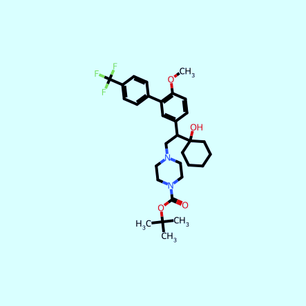 COc1ccc(C(CN2CCN(C(=O)OC(C)(C)C)CC2)C2(O)CCCCC2)cc1-c1ccc(C(F)(F)F)cc1